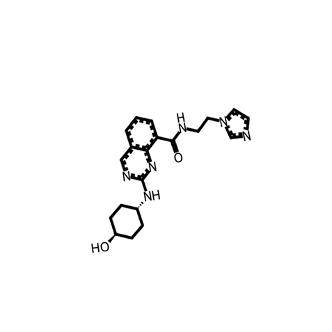 O=C(NCCn1ccnc1)c1cccc2cnc(N[C@H]3CC[C@H](O)CC3)nc12